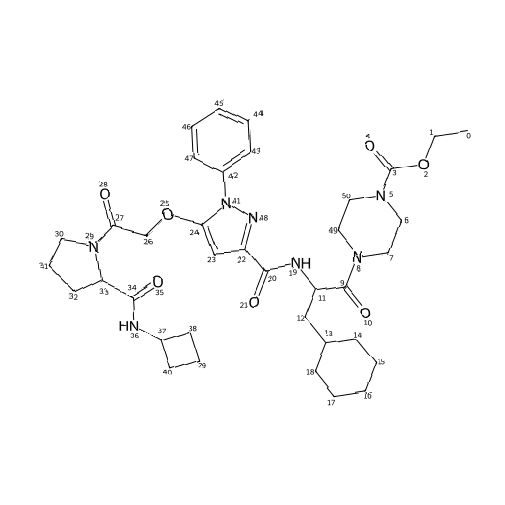 CCOC(=O)N1CCN(C(=O)C(CC2CCCCC2)NC(=O)c2cc(OCC(=O)N3CCCC3C(=O)NC3CCC3)n(-c3ccccc3)n2)CC1